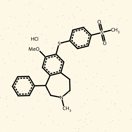 COc1cc2c(cc1Sc1ccc(S(C)(=O)=O)cc1)CCN(C)CC2c1ccccc1.Cl